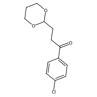 O=C(CCC1OCCCO1)c1ccc(Cl)cc1